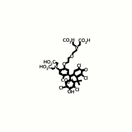 CC1(C)C2=C(Cl)C(=O)C(Cl)=CC2=C(c2cc(OCCOCCN(CC(=O)O)CC(=O)O)c(N(CC(=O)O)CC(=O)O)cc2C(=O)O)c2cc(Cl)c(O)c(Cl)c21